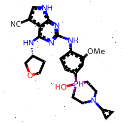 COc1cc([PH]2(O)CCN(C3CC3)CC2)ccc1Nc1nc(N[C@@H]2CCOC2)c2c(C#N)c[nH]c2n1